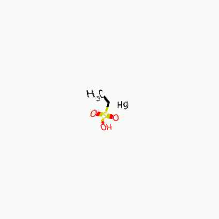 CCS(=O)(=O)O.[Hg]